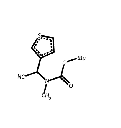 CN(C(=O)OC(C)(C)C)C(C#N)c1ccsc1